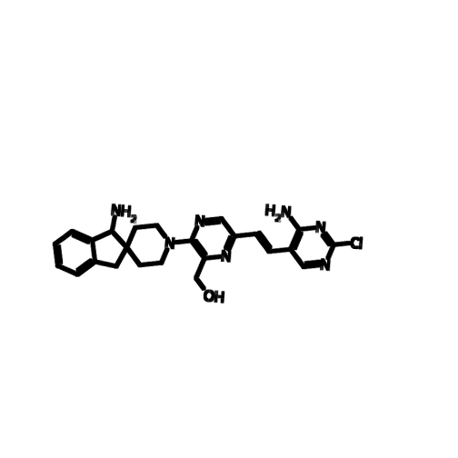 Nc1nc(Cl)ncc1C=Cc1cnc(N2CCC3(CC2)Cc2ccccc2C3N)c(CO)n1